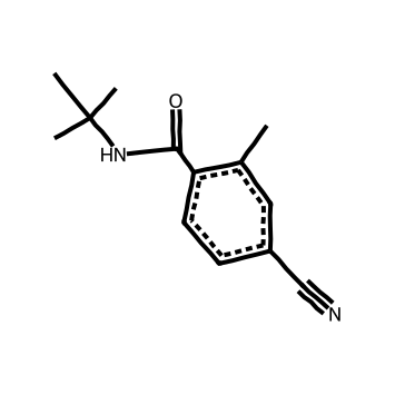 Cc1cc(C#N)ccc1C(=O)NC(C)(C)C